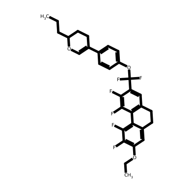 CCCC1CCC(c2ccc(OC(F)(F)c3cc4c(c(F)c3F)-c3c(cc(OCC)c(F)c3F)CC4)cc2)=CO1